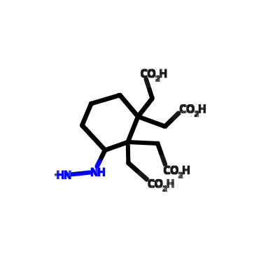 [NH]NC1CCCC(CC(=O)O)(CC(=O)O)C1(CC(=O)O)CC(=O)O